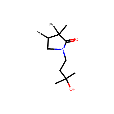 CC(C)C1CN(CCC(C)(C)O)C(=O)C1(C)C(C)C